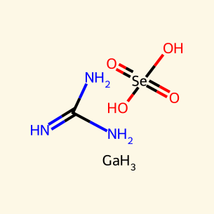 N=C(N)N.O=[Se](=O)(O)O.[GaH3]